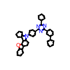 c1ccc(-c2cccc(-c3nc(-c4ccccc4)nc(-c4ccc(-n5c6ccccc6c6c7oc8ccccc8c7ccc65)cc4)n3)c2)cc1